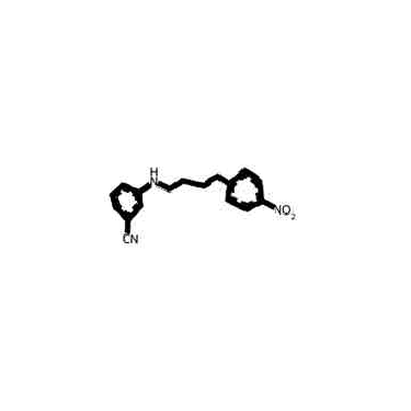 N#Cc1cccc(NCCCCc2ccc([N+](=O)[O-])cc2)c1